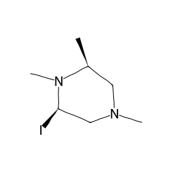 C[C@H]1CN(C)C[C@@H](I)N1C